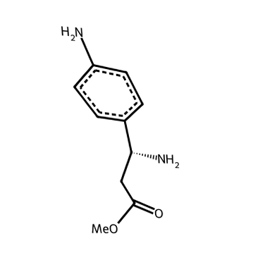 COC(=O)C[C@@H](N)c1ccc(N)cc1